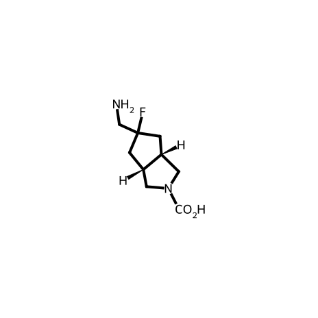 NCC1(F)C[C@H]2CN(C(=O)O)C[C@H]2C1